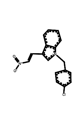 O=[N+]([O-])/C=C/c1cn(Cc2ccc(Cl)cc2)c2ccccc12